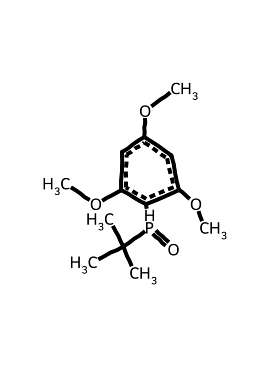 COc1cc(OC)c([PH](=O)C(C)(C)C)c(OC)c1